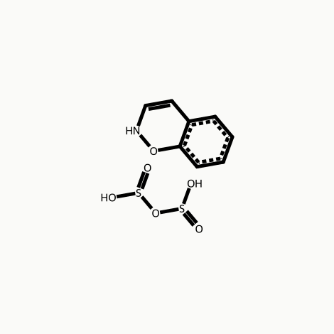 C1=Cc2ccccc2ON1.O=S(O)OS(=O)O